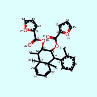 Cc1ccccc1C1C(OC(=O)c2ccco2)C(OC(=O)c2ccco2)C(C)[C@H]2C=CC=CC12C